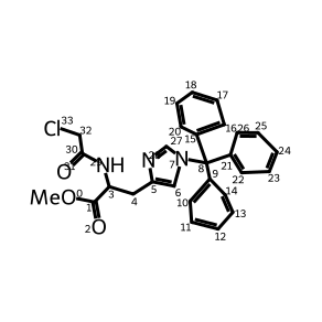 COC(=O)C(Cc1cn(C(c2ccccc2)(c2ccccc2)c2ccccc2)cn1)NC(=O)CCl